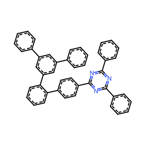 c1ccc(-c2cc(-c3ccccc3)cc(-c3ccccc3-c3ccc(-c4nc(-c5ccccc5)nc(-c5ccccc5)n4)cc3)c2)cc1